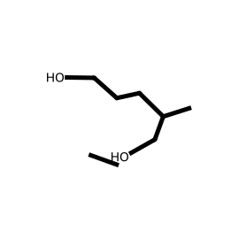 CC.CC(CO)CCCO